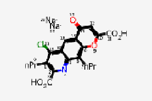 CCCc1c(C(=O)O)nc2c(CCC)c3oc(C(=O)O)cc(=O)c3cc2c1Cl.[Na].[Na]